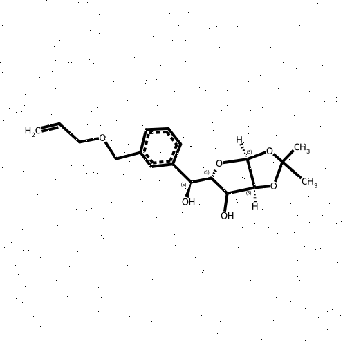 C=CCOCc1cccc([C@H](O)[C@@H]2O[C@H]3OC(C)(C)O[C@H]3C2O)c1